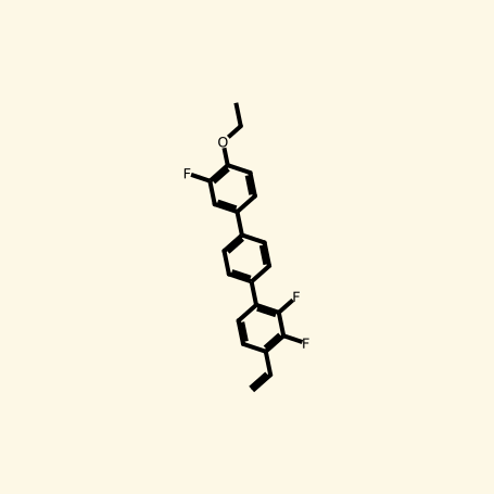 C=Cc1ccc(-c2ccc(-c3ccc(OCC)c(F)c3)cc2)c(F)c1F